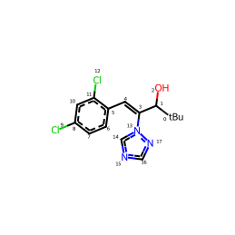 CC(C)(C)C(O)C(=Cc1ccc(Cl)cc1Cl)n1cncn1